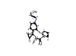 CN1C(=O)c2cccn2-c2cc(/C=C/C#N)ccc2C12CC2